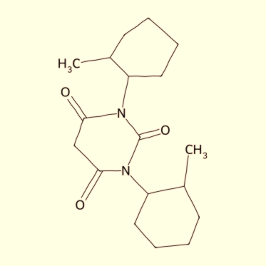 CC1CCCCC1N1C(=O)CC(=O)N(C2CCCCC2C)C1=O